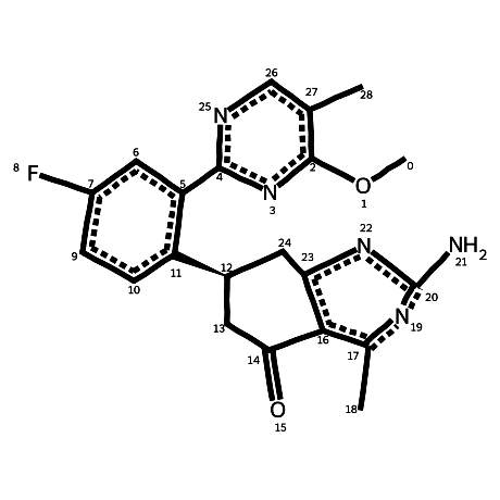 COc1nc(-c2cc(F)ccc2[C@@H]2CC(=O)c3c(C)nc(N)nc3C2)ncc1C